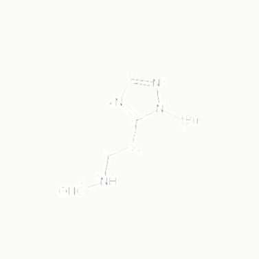 CC(C)(C)n1ncnc1SCNC=O